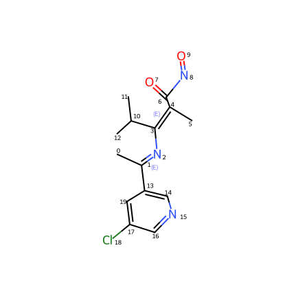 C/C(=N\C(=C(/C)C(=O)N=O)C(C)C)c1cncc(Cl)c1